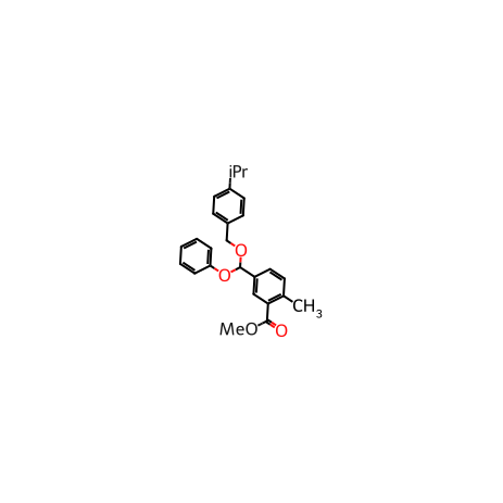 COC(=O)c1cc(C(OCc2ccc(C(C)C)cc2)Oc2ccccc2)ccc1C